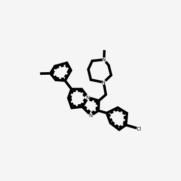 Cc1cccc(-c2ccc3nc(-c4ccc(Cl)cc4)c(CN4CCCN(C)CC4)n3c2)c1